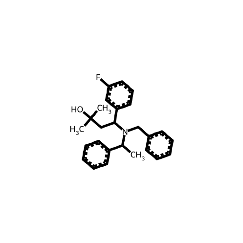 CC(c1ccccc1)N(Cc1ccccc1)C(CC(C)(C)O)c1cccc(F)c1